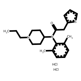 CCCN1CCC(N(C(=O)Cc2cccs2)c2c(C)cccc2C)CC1.Cl.Cl